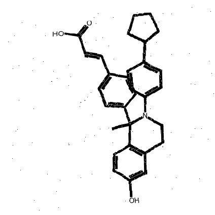 CC1(c2ccc(C=CC(=O)O)cc2)c2ccc(O)cc2CCN1c1ccc(C2CCCC2)cc1